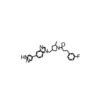 CC1CC(Cn2cnc3cc(-c4cn[nH]c4)ccc32)CN1C(=O)CCc1cccc(F)c1